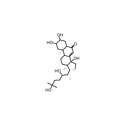 C[C@H]([C@H](O)CCC(C)(C)O)[C@H]1CC[C@@]2(O)C3=CC(=O)C4CC(O)C(O)C[C@]4(C)C3CC[C@]12C